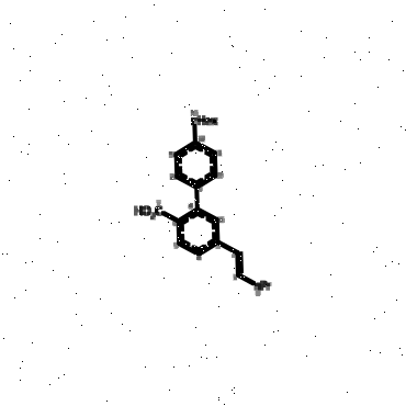 CCCC=Cc1ccc(C(=O)O)c(-c2ccc(CCCCCC)cc2)c1